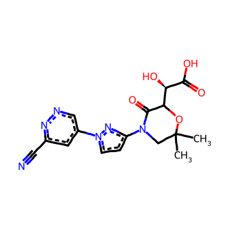 CC1(C)CN(c2ccn(-c3cnnc(C#N)c3)n2)C(=O)C([C@@H](O)C(=O)O)O1